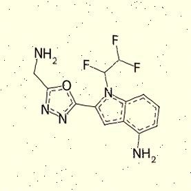 NCc1nnc(-c2cc3c(N)cccc3n2C(F)C(F)F)o1